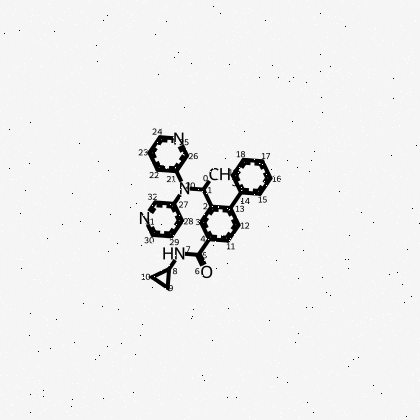 CC(c1cc(C(=O)NC2CC2)ccc1-c1ccccc1)N(c1cccnc1)c1cccnc1